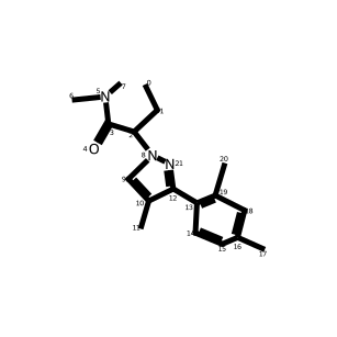 CCC(C(=O)N(C)C)n1cc(C)c(-c2ccc(C)cc2C)n1